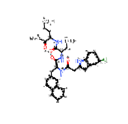 COC(=O)C(CCC(=O)O)NC(=O)C(CC(=O)O)NC(=O)C(Cc1ccc2ccccc2c1)NC(=O)Cc1cc2cc(Cl)ccc2[nH]1